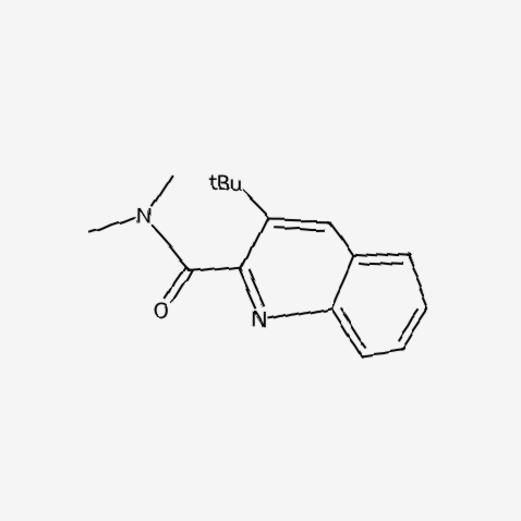 CN(C)C(=O)c1nc2ccccc2cc1C(C)(C)C